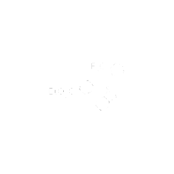 CCOC(=O)c1cccc(-c2cccc3c(C)c(Cc4cccc(C(F)(F)F)c4)sc23)c1